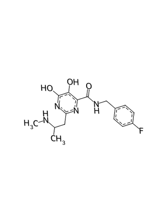 CNC(C)Cc1nc(O)c(O)c(C(=O)NCc2ccc(F)cc2)n1